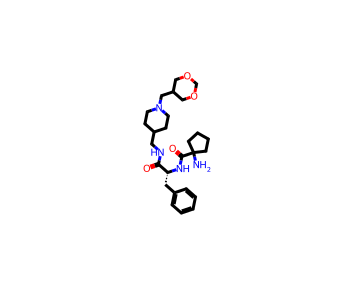 NC1(C(=O)N[C@H](Cc2ccccc2)C(=O)NCC2CCN(CC3COCOC3)CC2)CCCC1